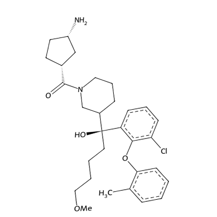 COCCCC[C@@](O)(c1cccc(Cl)c1Oc1ccccc1C)C1CCCN(C(=O)[C@@H]2CC[C@H](N)C2)C1